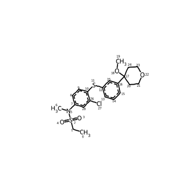 CCS(=O)(=O)N(C)c1ccc(Sc2cccc(C3(OC)CCOCC3)c2)c(Cl)c1